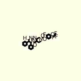 CC(c1ccccc1)C(c1ccccc1)n1c(N)nc2c(c1=O)CCN(C(=O)Oc1ccc(OC(F)(F)F)cc1F)C2